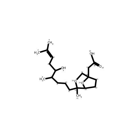 CC(C)=CCC(O)C(C)CCCC1(C)OCC2(CC(=O)O)CCC1O2